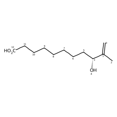 C=C(C)[C@H](O)CCCCCCCC(=O)O